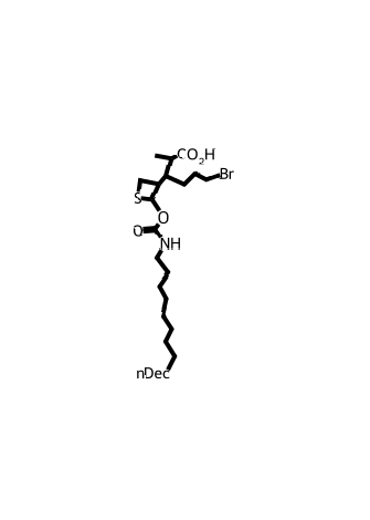 CCCCCCCCCCCCCCCCCCNC(=O)OC1SCC1C(CCCBr)C(C)C(=O)O